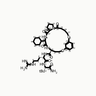 CC(C)(C)[C@H](NC(=O)[C@H](CCCNC(=N)N)NC(=O)[C@@H]1CCOc2cccc(c2)OCCCC(=O)N2CCC[C@H]2C(=O)NC(C2CCCCC2)C(=O)N1)C(N)=O